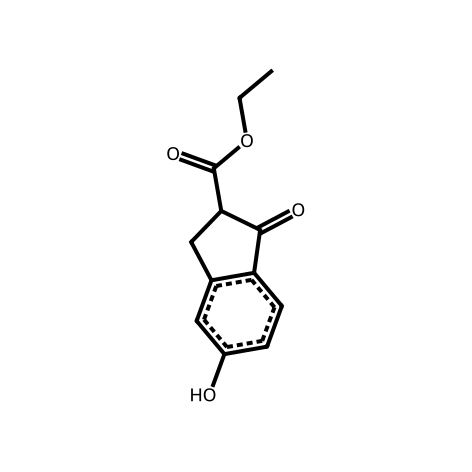 CCOC(=O)C1Cc2cc(O)ccc2C1=O